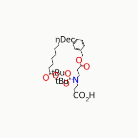 CC(C)(C)OC(=O)N(CCC(=O)O)CCC(=O)OCc1ccccc1.CCCCCCCCCCCCCCCCC(=O)OC(C)(C)C